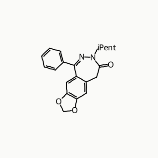 CCCC(C)N1N=C(c2ccccc2)c2cc3c(cc2CC1=O)OCO3